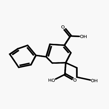 O=C(O)C1=CC(CCO)(C(=O)O)CC(c2ccccc2)=C1